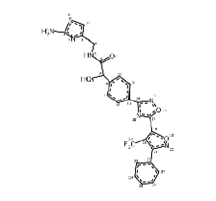 Nc1nc(CNC(=O)C(O)c2ccc(-c3noc(-c4onc(-c5ccccc5)c4C(F)(F)F)n3)cc2)cs1